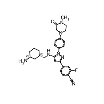 CN1CCN(c2ccc(-n3nc(-c4ccc(C#N)c(F)c4)cc3NC[C@H]3CCC[C@H](N)C3)cc2)CC1=O